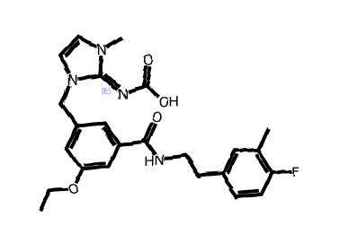 CCOc1cc(Cn2ccn(C)/c2=N\C(=O)O)cc(C(=O)NCCc2ccc(F)c(C)c2)c1